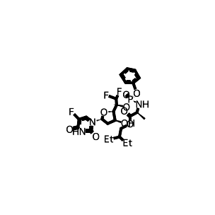 CCC(CC)COC(=O)[C@H](C)N[P@](=O)(Oc1ccccc1)O[C@H](C(F)F)[C@H]1O[C@@H](n2cc(F)c(=O)[nH]c2=O)C[C@@H]1O